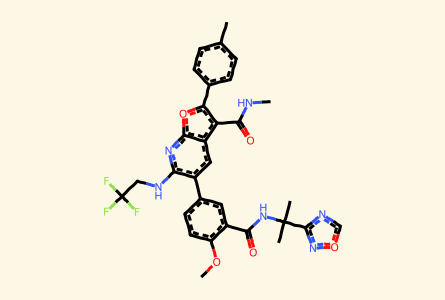 CNC(=O)c1c(-c2ccc(C)cc2)oc2nc(NCC(F)(F)F)c(-c3ccc(OC)c(C(=O)NC(C)(C)c4ncon4)c3)cc12